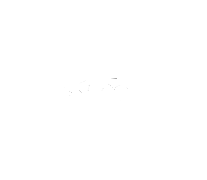 C[S+]([O-])Nc1ccn(C(=O)Oc2ccc([N+](=O)[O-])cc2)n1